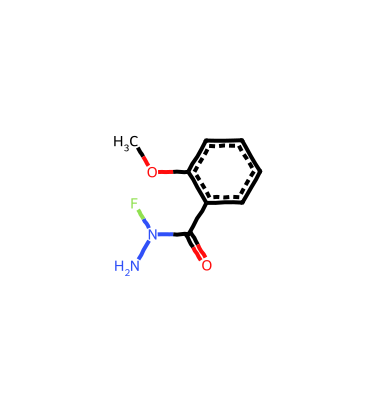 COc1ccccc1C(=O)N(N)F